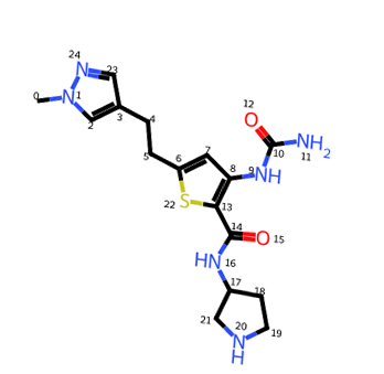 Cn1cc(CCc2cc(NC(N)=O)c(C(=O)NC3CCNC3)s2)cn1